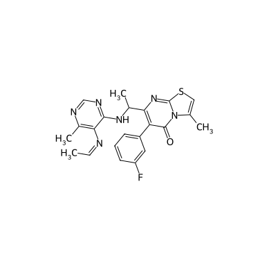 C/C=N\c1c(C)ncnc1NC(C)c1nc2scc(C)n2c(=O)c1-c1cccc(F)c1